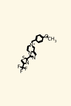 COc1ccc(C[n+]2ccn3c(-c4nc(C(F)(F)F)cs4)ncc3c2)cc1